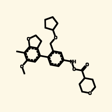 COc1cc(-c2ccc(NOC(=O)C3CCOCC3)cc2COC2CCCC2)c2c(c1C)OCC2